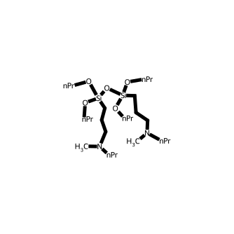 CCCO[Si](CCCN(C)CCC)(OCCC)O[Si](CCCN(C)CCC)(OCCC)OCCC